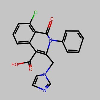 O=C(O)c1c(Cn2ccnc2)n(-c2ccccc2)c(=O)c2c(Cl)cccc12